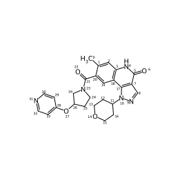 Cc1cc2[nH]c(=O)c3cnn(C4CCOCC4)c3c2cc1C(=O)N1CCC(Oc2ccncc2)C1